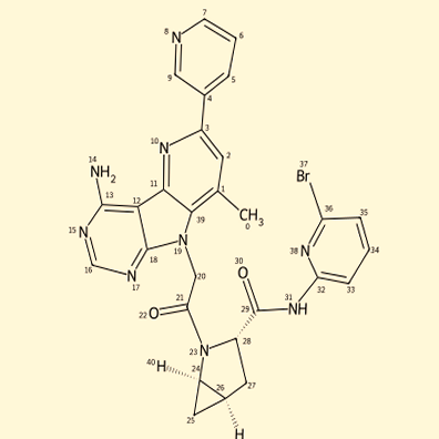 Cc1cc(-c2cccnc2)nc2c3c(N)ncnc3n(CC(=O)N3[C@@H]4C[C@@H]4C[C@H]3C(=O)Nc3cccc(Br)n3)c12